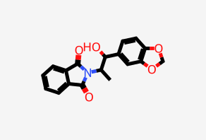 CC(C(O)c1ccc2c(c1)OCO2)N1C(=O)c2ccccc2C1=O